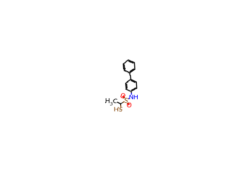 CC(S)S(=O)(=O)Nc1ccc(-c2ccccc2)cc1